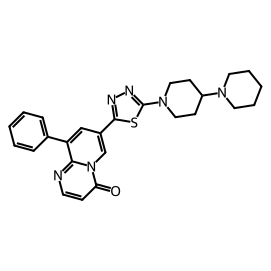 O=c1ccnc2c(-c3ccccc3)cc(-c3nnc(N4CCC(N5CCCCC5)CC4)s3)cn12